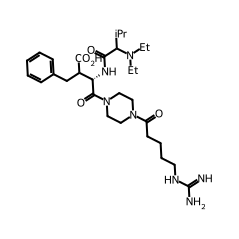 CCN(CC)C(C(=O)N[C@H](C(=O)N1CCN(C(=O)CCCCNC(=N)N)CC1)C(Cc1ccccc1)C(=O)O)C(C)C